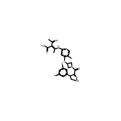 CC(=N)/C(C(N)=O)=C(/C)Nc1cc(OC2CN(C(=O)C3=NNCC3c3cc(F)cc(F)c3)C2)c(F)cn1